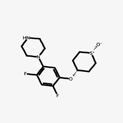 [O-][S@+]1CC[C@H](Oc2cc(N3CCNCC3)c(F)cc2F)CC1